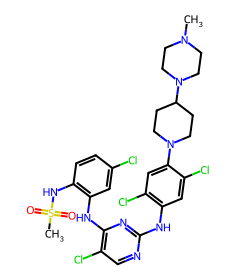 CN1CCN(C2CCN(c3cc(Cl)c(Nc4ncc(Cl)c(Nc5cc(Cl)ccc5NS(C)(=O)=O)n4)cc3Cl)CC2)CC1